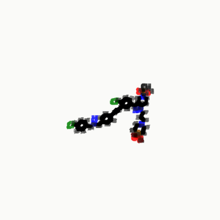 CS(=O)(=O)N1CCc2c(c(-c3ccc(Cl)c(C#Cc4ccc(CNCc5ccc(Cl)cc5)cc4)c3)nn2CCCN2CCS(=O)(=O)CC2)C1